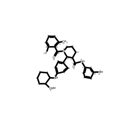 COC1CCCCC1Nc1ccc(C2C(C(=O)Nc3cccc(C(C)(C)C)c3)CCCN2C(=O)c2c(C)cccc2F)cc1